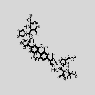 COCC1C[C@@H](c2ncc(-c3cc4c5c(c3)OCc3cc(-c6cnc([C@@H]7CC[C@H](C)N7C(=O)[C@@H](NC(=O)OC)C(C)C)[nH]6)cc(c3-5)OC4)[nH]2)N(C(O)[C@@H](NC(=O)OC)C(C)C)C1